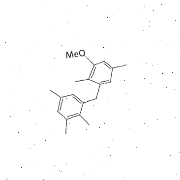 COc1cc(C)cc(Cc2cc(C)cc(C)c2C)c1C